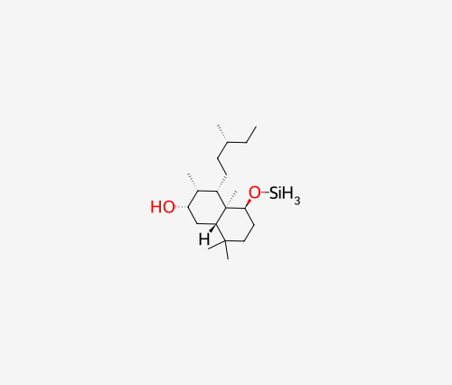 CC[C@@H](C)CC[C@H]1[C@@H](C)[C@@H](O)C[C@H]2C(C)(C)CC[C@H](O[SiH3])[C@]12C